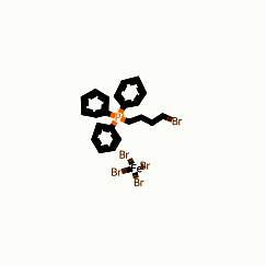 BrCCCC[P+](c1ccccc1)(c1ccccc1)c1ccccc1.[Br][Fe-]([Br])([Br])[Br]